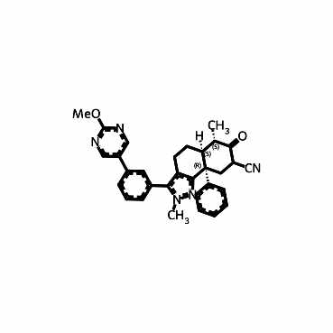 COc1ncc(-c2cccc(-c3c4c(nn3C)[C@]3(c5ccccc5)CC(C#N)C(=O)[C@@H](C)[C@@H]3CC4)c2)cn1